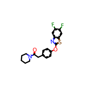 O=C(Cc1ccc(Oc2nc3cc(F)c(F)cc3s2)cc1)N1CCCCC1